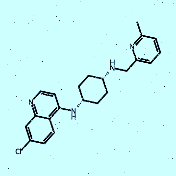 Cc1cccc(CN[C@H]2CC[C@@H](Nc3ccnc4cc(Cl)ccc34)CC2)n1